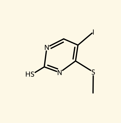 CSc1nc(S)ncc1I